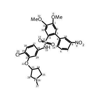 COc1cc(-c2cccc([N+](=O)[O-])c2)c(S(=O)(=O)Nc2ccc(Cl)c(OC3CCN(C)C3)c2)cc1OC